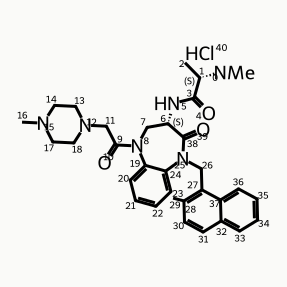 CN[C@@H](C)C(=O)N[C@H]1CN(C(=O)CN2CCN(C)CC2)c2ccccc2N(Cc2c(C)ccc3ccccc23)C1=O.Cl